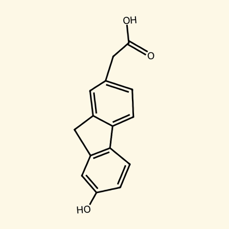 O=C(O)Cc1ccc2c(c1)Cc1cc(O)ccc1-2